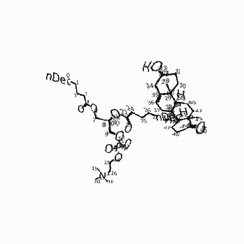 CCCCCCCCCCCCCC(=O)OC[C@H](COP(=O)([O-])OCC[N+](C)(C)C)OC(=O)CCCCCCCCCCCCC.C[C@]12CC[C@H](O)CC1=CC[C@@H]1[C@@H]2CC[C@]2(C)C(=O)CC[C@@H]12